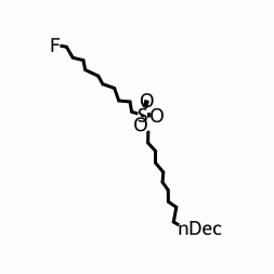 CCCCCCCCCCCCCCCCCCCCOS(=O)(=O)CCCCCCCCCCF